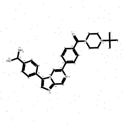 CC(C)(C)N1CCN(C(=O)c2ccc(-c3cn4c(-c5ccc(C(N)O)cc5)cnc4cn3)cc2)CC1